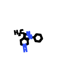 Cc1nn(C2CCCCC2)c2c1CCNC2